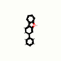 C1=c2oc3ccccc3c2=CCC1c1ccccc1